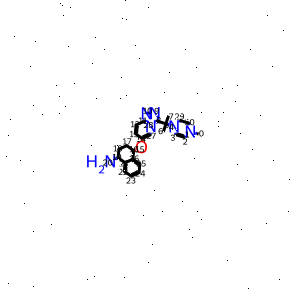 CN1C=CN(C(C)(C)c2nnc3ccc(OC4CCC(N)c5ccccc54)cn23)CC1